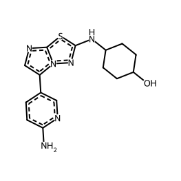 Nc1ccc(-c2cnc3sc(NC4CCC(O)CC4)nn23)cn1